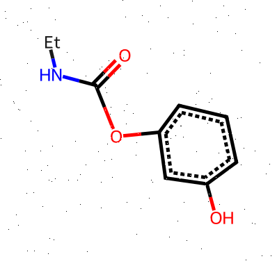 CCNC(=O)Oc1cccc(O)c1